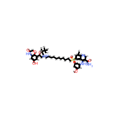 COc1cccc(Nc2c(C(N)=O)cnc3c(C)cc(S(=O)(=O)CCCCCCCCCCCNCC(O[Si](C)(C)C(C)(C)C)c4cc(O)cc5c4OCC(=O)N5)cc23)c1